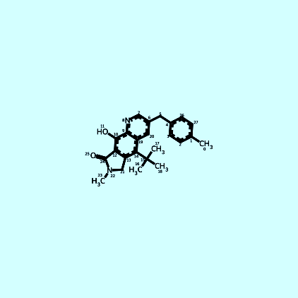 Cc1ccc(Cc2cnc3c(O)c4c(c(C(C)(C)C)c3c2)CN(C)C4=O)cc1